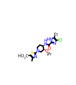 CCc1[nH]c(C(=O)N[C@@H]2CCN(c3nc(C)c(C(=O)O)s3)C[C@@H]2OC(C)C)nc1Cl